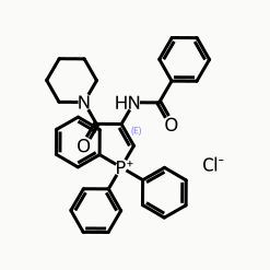 O=C(N/C(=C/[P+](c1ccccc1)(c1ccccc1)c1ccccc1)C(=O)N1CCCCC1)c1ccccc1.[Cl-]